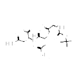 C[C@H](NC(=O)OC(C)(C)C)C(=O)N[C@H](CC(N)=O)C(=O)N[C@@H](CC(N)=O)C(=O)O